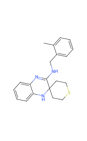 Cc1ccccc1CNC1=Nc2ccccc2NC12CCSCC2